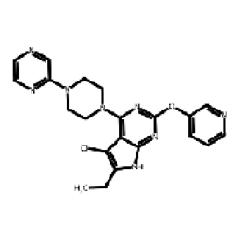 CCc1[nH]c2nc(Oc3cccnc3)nc(N3CCN(c4cnccn4)CC3)c2c1Cl